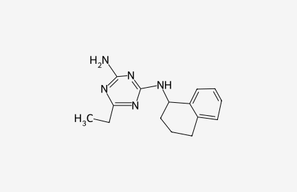 CCc1nc(N)nc(NC2CCCc3ccccc32)n1